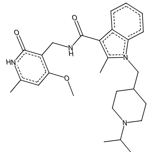 COc1cc(C)[nH]c(=O)c1CNC(=O)c1c(C)n(CC2CCN(C(C)C)CC2)c2ccccc12